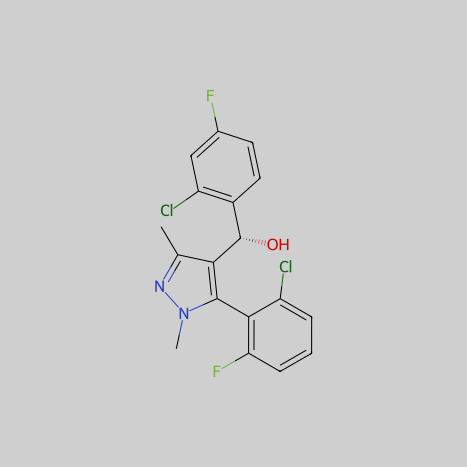 Cc1nn(C)c(-c2c(F)cccc2Cl)c1[C@@H](O)c1ccc(F)cc1Cl